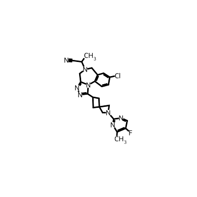 Cc1nc(N2CC3(CC(c4nnc5n4-c4ccc(Cl)cc4CN(C(C)C#N)C5)C3)C2)ncc1F